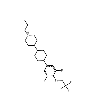 CCC[SiH]1CCC(C2CCC(c3cc(F)c(OCC(F)(F)F)c(F)c3)CC2)CC1